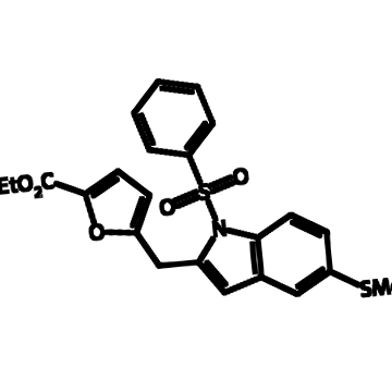 CCOC(=O)c1ccc(Cc2cc3cc(SC)ccc3n2S(=O)(=O)c2ccccc2)o1